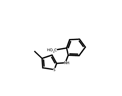 Cc1csc(Nc2ccccc2C(=O)O)c1